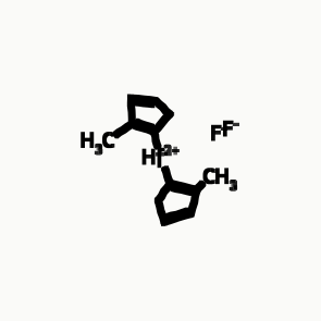 CC1=[C]([Hf+2][C]2=C(C)C=CC2)CC=C1.[F-].[F-]